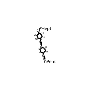 CCCCCC#Cc1ccc(C#Cc2ccc(OCCCCCCC)cc2)cc1